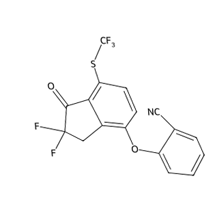 N#Cc1ccccc1Oc1ccc(SC(F)(F)F)c2c1CC(F)(F)C2=O